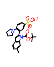 Cc1ccc2cc(-c3cc(S(=O)(=O)O)ccc3N3CCCC3)n(C(=O)OC(C)(C)C)c2c1